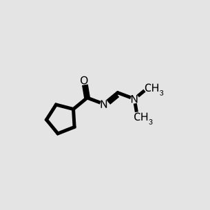 CN(C)/C=N/C(=O)C1CCCC1